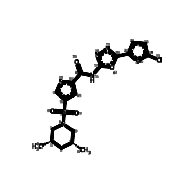 C[C@@H]1C[C@H](C)CN(S(=O)(=O)c2csc(C(=O)Nc3nnc(-c4ccc(Cl)s4)o3)c2)C1